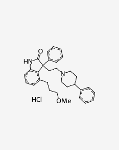 COCCCc1cccc2c1C(CCN1CCC(c3ccccc3)CC1)(c1ccccc1)C(=O)N2.Cl